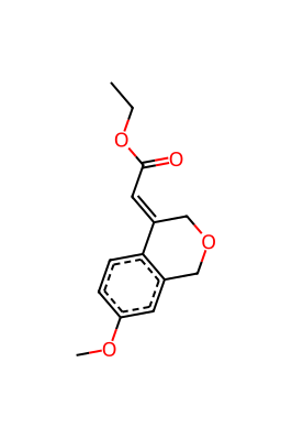 CCOC(=O)C=C1COCc2cc(OC)ccc21